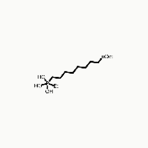 CCCCCCCCCCCCCCCCP(O)(O)(O)CC